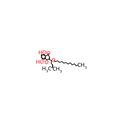 CCCCCCCCCCCCOC(CC=C(C)C)C1=CC(=O)c2c(O)ccc(O)c2C1=O